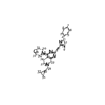 Cn1cc(-c2ccccc2)nc1C#Cc1nc2c(c(N3CCOCC3)n1)CCN(CC1CC1)C2